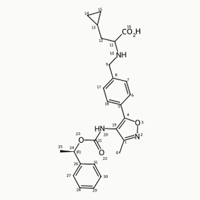 Cc1noc(-c2ccc(CNC(CC3CC3)C(=O)O)cc2)c1NC(=O)O[C@H](C)c1ccccc1